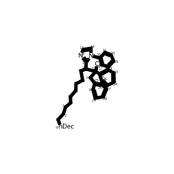 CCCCCCCCCCCCCCCCCCCC(c1nccn1-c1ccccc1)C(C)(Cc1ccccc1)c1ccccc1